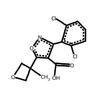 CC1(c2onc(-c3c(Cl)cccc3Cl)c2C(=O)O)COC1